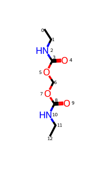 CCNC(=O)OCOC(=O)NCC